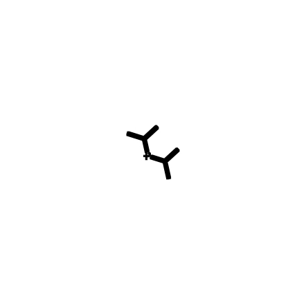 CC(C)[P]C(C)C